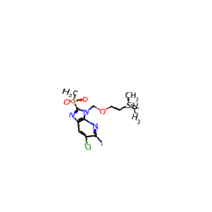 C[SiH](C)CCOCn1c(S(C)(=O)=O)nc2cc(Cl)c(I)nc21